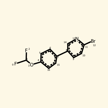 FC(F)Oc1ccc(-c2ccc(Br)nc2)cc1